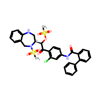 CS(=O)(=O)OC(C(=O)c1ccc(NC(=O)c2ccccc2-c2ccccc2)cc1Cl)[C@@H]1CNc2ccccc2CN1S(C)(=O)=O